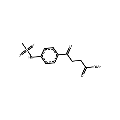 COC(=O)CCC(=O)c1ccc(NS(C)(=O)=O)cc1